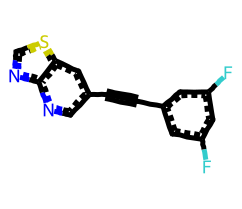 Fc1cc(F)cc(C#Cc2cnc3ncsc3c2)c1